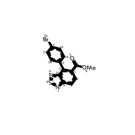 COC(=O)c1ccc2nsnc2c1-c1ccc(Br)cc1